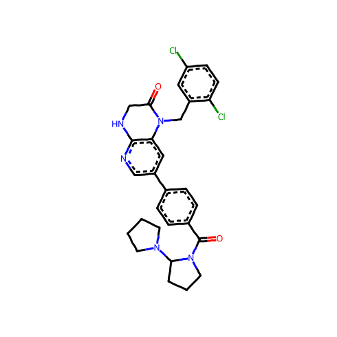 O=C1CNc2ncc(-c3ccc(C(=O)N4CCCC4N4CCCC4)cc3)cc2N1Cc1cc(Cl)ccc1Cl